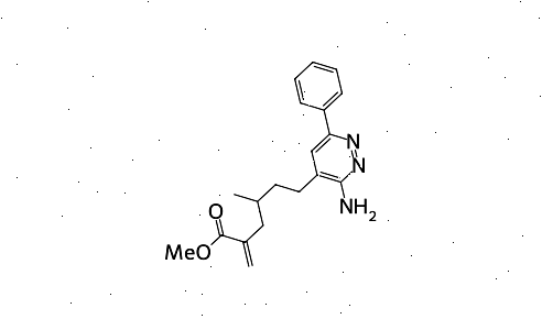 C=C(CC(C)CCc1cc(-c2ccccc2)nnc1N)C(=O)OC